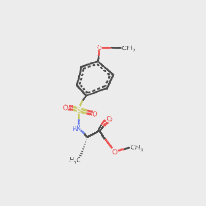 COC(=O)[C@H](C)NS(=O)(=O)c1ccc(OC)cc1